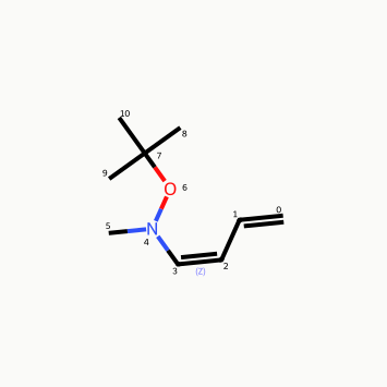 C=C/C=C\N(C)OC(C)(C)C